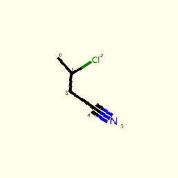 CC(Cl)CC#N